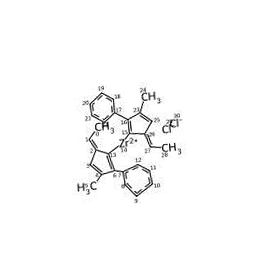 CC=C1C=C(C)C(c2ccccc2)=[C]1[Zr+2][C]1=C(c2ccccc2)C(C)=CC1=CC.[Cl-].[Cl-]